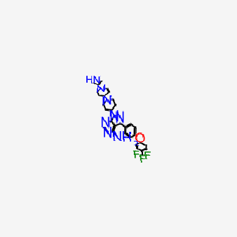 Nc1ncnc2c1c(-c1ccc(Oc3ccc(C(F)(F)F)cc3)cc1)nn2C1CCN(C2CCN(C3CNC3)CC2)CC1